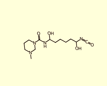 CN1CCCN(C(=O)NC(O)CCCCC(O)N=C=O)C1